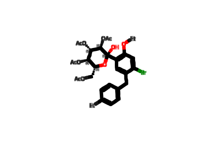 CCOc1cc(Br)c(Cc2ccc(CC)cc2)cc1[C@]1(O)O[C@H](COC(C)=O)[C@@H](OC(C)=O)[C@H](OC(C)=O)[C@H]1OC(C)=O